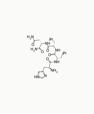 CC(C)C[C@H](NC(=O)[C@H](CC(C)C)NC(=O)[C@@H](N)Cc1c[nH]cn1)C(=O)N[C@@H](CC(N)=O)C(N)=O